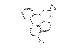 CCC1(CSc2ccncc2-c2ccc(C#N)c3ccccc23)CC1